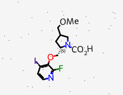 COCC1C[C@@H](COc2c(I)ccnc2F)N(C(=O)O)C1